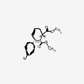 COC(=O)[C@H]1[C@H](c2ccc(Br)cc2)C=CC[C@]1(F)C(=O)OC